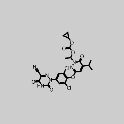 CC(C)c1cc(Oc2c(Cl)cc(-n3nc(C#N)c(=O)[nH]c3=O)cc2Cl)nn(C(C)OC(=O)OC2CC2)c1=O